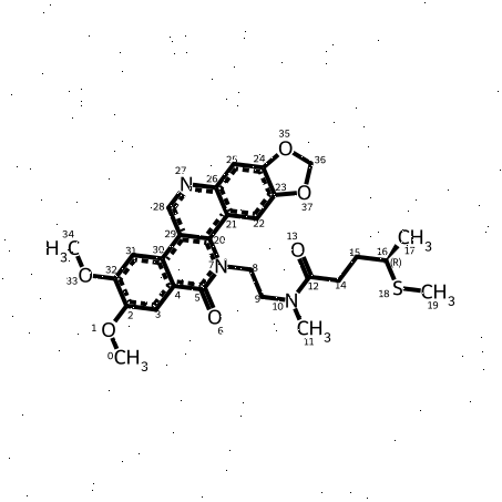 COc1cc2c(=O)n(CCN(C)C(=O)CC[C@@H](C)SC)c3c4cc5c(cc4ncc3c2cc1OC)OCO5